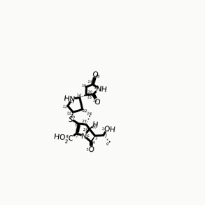 C[C@@H](O)[C@H]1C(=O)N2C(C(=O)O)=C(S[C@@H]3CN[C@H](C4CC(=O)NC4=O)C3)[C@H](C)[C@H]12